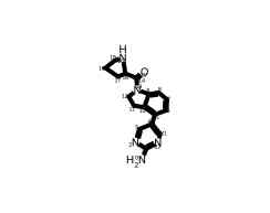 Nc1ncc(-c2cccc3c2CCN3C(=O)C2CCCN2)cn1